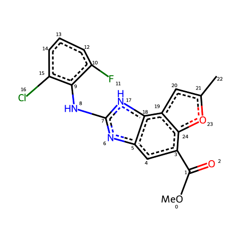 COC(=O)c1cc2nc(Nc3c(F)cccc3Cl)[nH]c2c2cc(C)oc12